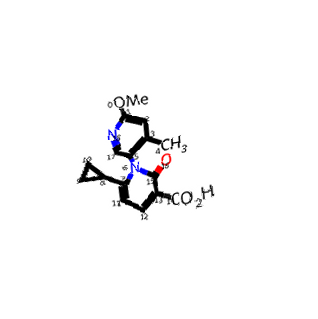 COc1cc(C)c(-n2c(C3CC3)ccc(C(=O)O)c2=O)cn1